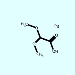 COC(OC)C(=O)O.[Pd]